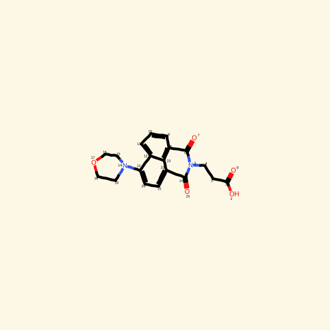 O=C(O)CCN1C(=O)c2cccc3c(N4CCOCC4)ccc(c23)C1=O